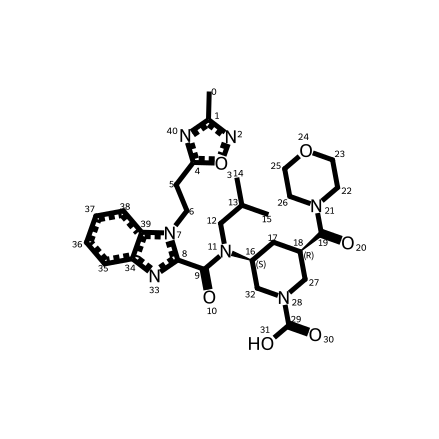 Cc1noc(CCn2c(C(=O)N(CC(C)C)[C@H]3C[C@@H](C(=O)N4CCOCC4)CN(C(=O)O)C3)nc3ccccc32)n1